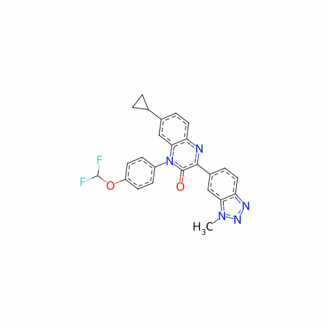 Cn1nnc2ccc(-c3nc4ccc(C5CC5)cc4n(-c4ccc(OC(F)F)cc4)c3=O)cc21